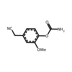 COc1cc([CH]C#N)ccc1OC(N)=O